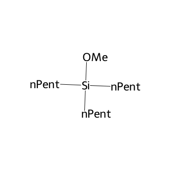 CCCCC[Si](CCCCC)(CCCCC)OC